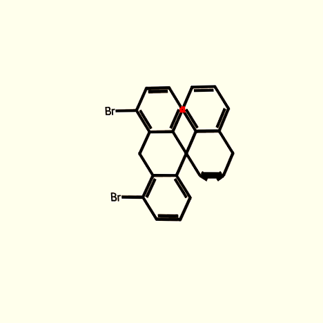 Brc1cccc2c1Cc1c(Br)cccc1C21c2ccccc2Cc2ccccc21